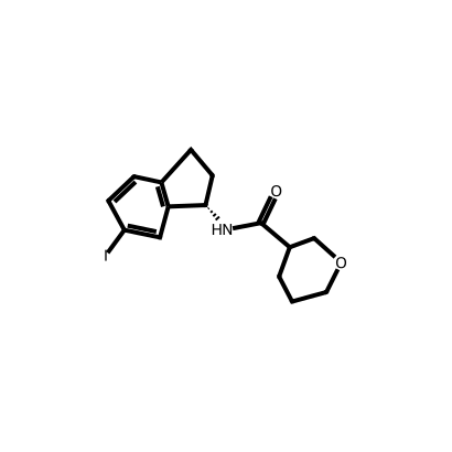 O=C(N[C@H]1CCc2ccc(I)cc21)C1CCCOC1